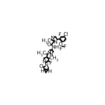 Cc1ncc(-c2c(OC(F)F)ccc(Cl)c2F)nc1C(=O)Nc1cnn([C@@H](C)c2cnc(N3C[C@H]4C[C@H]4C3=O)c(F)c2C)c1